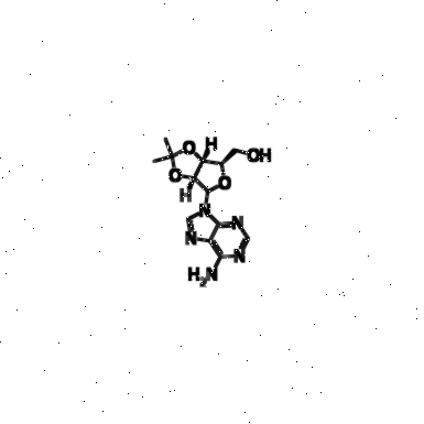 CC1(C)O[C@@H]2[C@@H](CO)OC(n3cnc4c(N)ncnc43)[C@@H]2O1